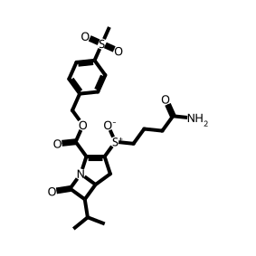 CC(C)C1C(=O)N2C(C(=O)OCc3ccc(S(C)(=O)=O)cc3)=C([S+]([O-])CCCC(N)=O)CC12